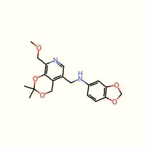 COCc1ncc(CNc2ccc3c(c2)OCO3)c2c1OC(C)(C)OC2